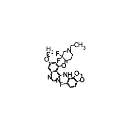 CCN1CC[C@H](Oc2cc(OC)cc3ncnc(Nc4c(F)ccc5c4OCO5)c23)C(F)(F)C1